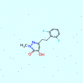 Cn1nc(CCc2c(F)cccc2F)cc(O)c1=O